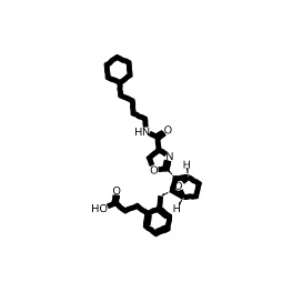 O=C(O)CCc1ccccc1C[C@@H]1[C@H](C2=NC(C(=O)NCCCCC3CCCCC3)CO2)[C@H]2CC[C@@H]1O2